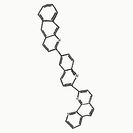 c1ccc2cc3nc(-c4ccc5nc(-c6ccc7ccc8cccnc8c7n6)ccc5c4)ccc3cc2c1